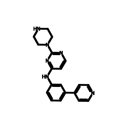 c1cc(Nc2ccnc(N3CCNCC3)n2)cc(-c2ccncc2)c1